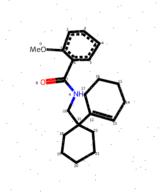 COc1ccccc1C(=O)NCC1(C2=CCCCC2)CCCCC1